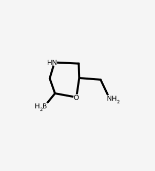 BC1CNCC(CN)O1